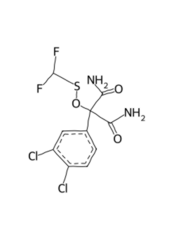 NC(=O)C(OSC(F)F)(C(N)=O)c1ccc(Cl)c(Cl)c1